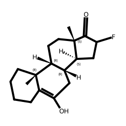 C[C@]12CCCCC1=C(O)C[C@@H]1[C@H]2CC[C@]2(C)C(=O)C(F)C[C@@H]12